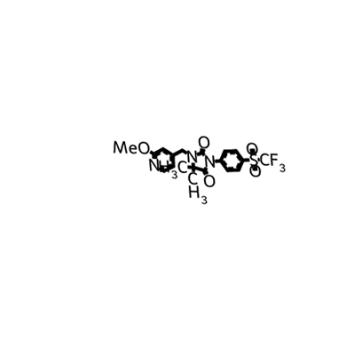 COc1cc(CN2C(=O)N(c3ccc(S(=O)(=O)C(F)(F)F)cc3)C(=O)C2(C)C)ccn1